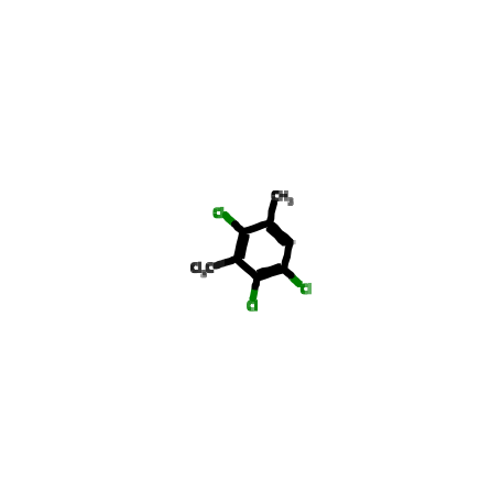 Cc1[c]c(Cl)c(Cl)c(C(Cl)(Cl)Cl)c1Cl